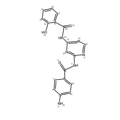 Nc1ccc(C(=O)Nc2ncnc(NC(=O)c3ccccc3O)n2)cc1